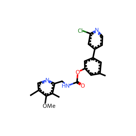 COc1c(C)cnc(CNC(=O)Oc2cc(C)cc(-c3ccnc(Cl)c3)c2)c1C